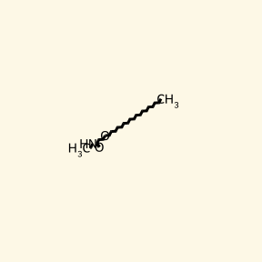 CCCCCCCCCCCCCCCCCCOCCC(=O)NCC